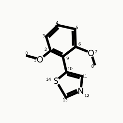 COc1c[c]cc(OC)c1-c1cncs1